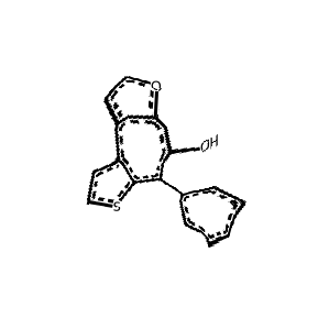 Oc1c(-c2ccccc2)c2sccc2c2ccoc12